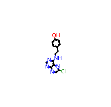 Oc1ccc(CCNc2ncnc3ncc(Cl)nc23)cc1